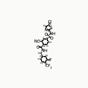 N#Cc1cc(S(=O)(=O)Nc2ncc(Cl)s2)ccc1C(=O)NCc1ccc(C(F)(F)F)c(F)c1